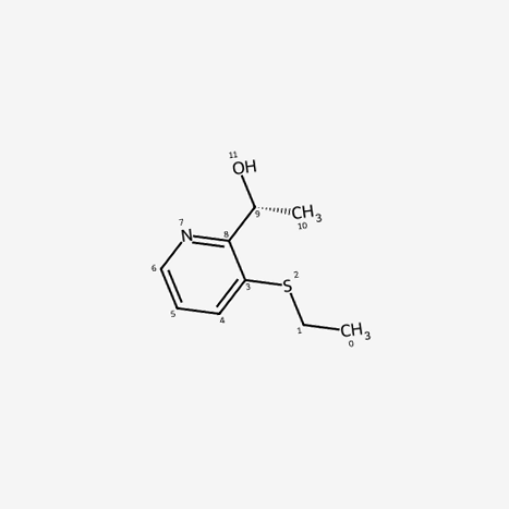 CCSc1cccnc1[C@@H](C)O